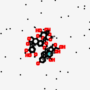 COc1cc([C@@H]2c3cc4c(cc3C(O[C@@H]3O[C@@H]5CO[C@@H](C)O[C@H]5[C@H](O)[C@H]3O)C3COC(=O)[C@@H]32)OCO4)cc(OC)c1O.C[C@@H]1C[C@H]2[C@@H]3CCC4=CC(=O)C=C[C@]4(C)[C@@]3(F)[C@@H](O)C[C@]2(C)[C@@]1(O)C(=O)CO